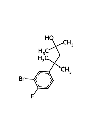 CC(C)(O)CC(C)(C)c1ccc(F)c(Br)c1